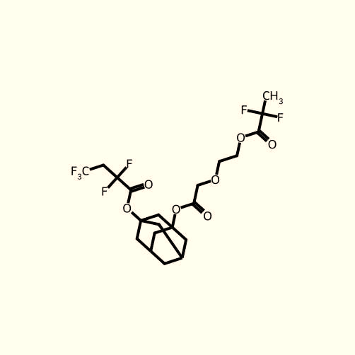 CC(F)(F)C(=O)OCCOCC(=O)OC12CC3CC(C1)CC(OC(=O)C(F)(F)CC(F)(F)F)(C3)C2